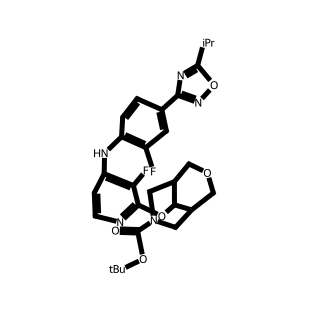 CC(C)c1nc(-c2ccc(Nc3ccnc(OC4C5COCC4CN(C(=O)OC(C)(C)C)C5)c3F)c(F)c2)no1